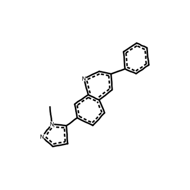 Cn1nccc1-c1ccc2cc(-c3ccccc3)cnc2c1